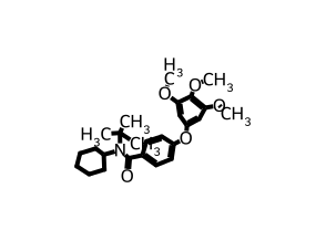 COc1cc(Oc2ccc(C(=O)N(C3CCCCC3)C(C)(C)C)cc2)cc(OC)c1OC